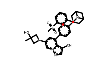 CC1(O)CN(c2cc(-c3ccc(N4CC5CC(C4)N5Cc4cccc(S(C)(=O)=O)c4)nc3)c3c(C#N)cnn3c2)C1